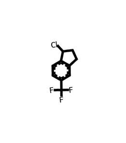 FC(F)(F)c1ccc2c(c1)CCC2Cl